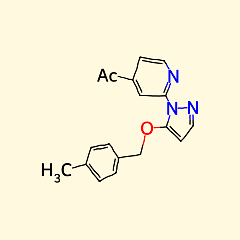 CC(=O)c1ccnc(-n2nccc2OCc2ccc(C)cc2)c1